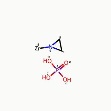 O=P(O)(O)O.[Zr][N]1CC1